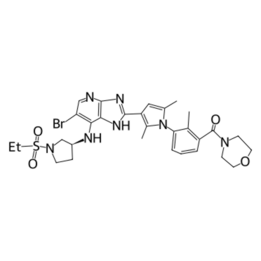 CCS(=O)(=O)N1CC[C@H](Nc2c(Br)cnc3nc(-c4cc(C)n(-c5cccc(C(=O)N6CCOCC6)c5C)c4C)[nH]c23)C1